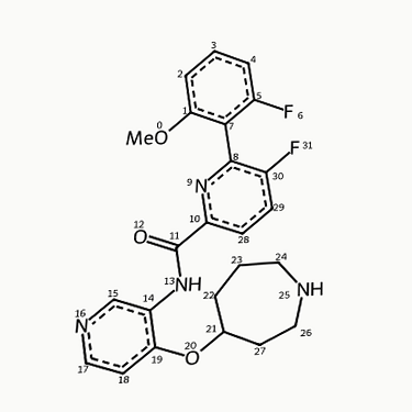 COc1cccc(F)c1-c1nc(C(=O)Nc2cnccc2OC2CCCNCC2)ccc1F